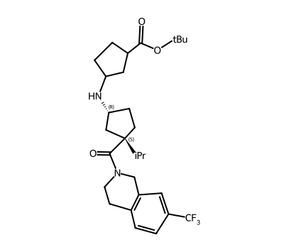 CC(C)[C@]1(C(=O)N2CCc3ccc(C(F)(F)F)cc3C2)CC[C@@H](NC2CCC(C(=O)OC(C)(C)C)C2)C1